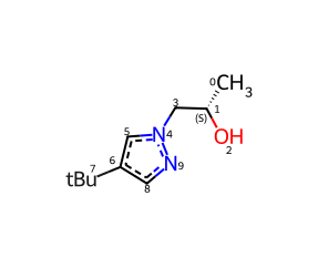 C[C@H](O)Cn1cc(C(C)(C)C)cn1